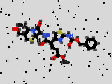 CC(C)(C)OC(=O)CC=C(C(=O)N[C@@H]1C(=O)N2C(C(=O)O)=C(CO)CS[C@@H]12)c1csc(NC(=O)OCc2ccccc2)n1